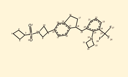 O=S(=O)(C1CCC1)N1CC(c2ccc3c(c2)CCC3Cc2cccc(C(F)(F)F)c2N2CCC2)C1